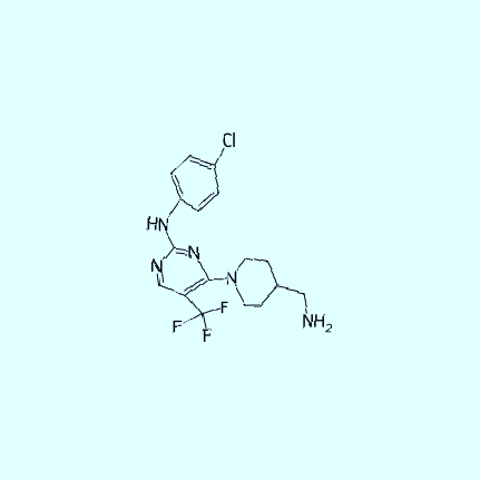 NCC1CCN(c2nc(Nc3ccc(Cl)cc3)ncc2C(F)(F)F)CC1